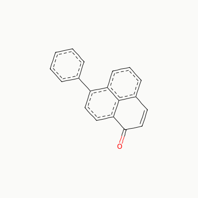 O=C1C=Cc2cccc3c(-c4ccccc4)ccc1c23